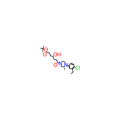 CCc1cc(N2CCN(C(=O)CCC(O)CCC(=O)OC(C)(C)C)C[C@@H]2C)ccc1Cl